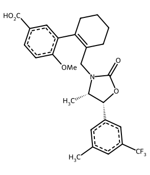 COc1ccc(C(=O)O)cc1C1=C(CN2C(=O)O[C@H](c3cc(C)cc(C(F)(F)F)c3)[C@@H]2C)CCCC1